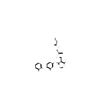 Nc1ncnc(Nc2ccc(Oc3ccccc3F)c(Cl)c2)c1-c1nc(CNC(=O)CCO)co1